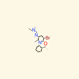 CCN(C)/C=N/c1cc(Br)c(O[C@H](C)c2ccccc2)nc1C